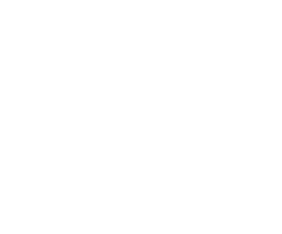 [CH2]CCCCCCCCOOC(=O)c1ccc(CCC)cc1